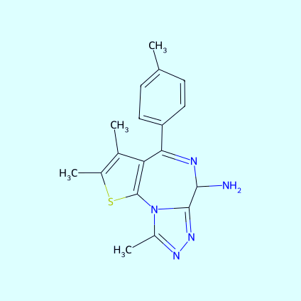 Cc1ccc(C2=NC(N)c3nnc(C)n3-c3sc(C)c(C)c32)cc1